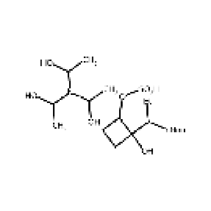 CC(O)N(C(C)O)C(C)O.CCCCCCCCCC(CC)C1(O)CCC1OS(=O)(=O)O